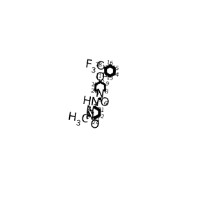 Cn1nc(NC(=O)N2CCC(Oc3ccccc3C(F)(F)F)CC2)ccc1=O